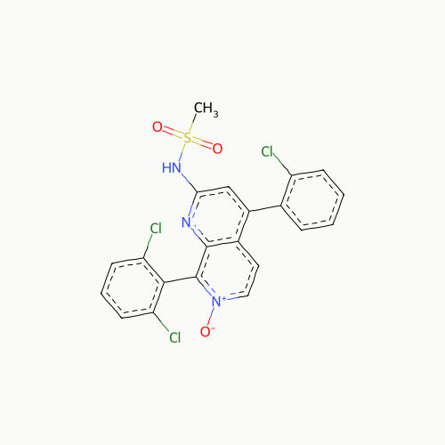 CS(=O)(=O)Nc1cc(-c2ccccc2Cl)c2cc[n+]([O-])c(-c3c(Cl)cccc3Cl)c2n1